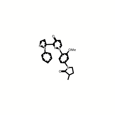 COc1cc(N2CCC(C)C2=O)ccc1-n1ccc(=O)c(-c2ccnn2-c2ccccc2)n1